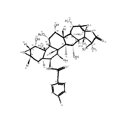 CC(=O)O[C@H]1[C@H]2[C@@H]([C@@H](O)[C@@H](NC(=O)c3ccc(F)cc3)[C@H]3C[C@@H]4O[C@@H]4[C@H](O)[C@]23C)[C@@H]2[C@@H](O)[C@@H]3[C@H]([C@H](C)[C@H]4O[C@]45OC(=O)[C@@](C)(O)[C@]35C)[C@@]2(C(C)=O)[C@H]1O